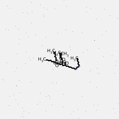 CCCCC/C=C\C/C=C\CCCCCCC(CC(COC(=O)OCCN(C)C)COC(=O)C(OCCCCCCC)OCCCCCCC)C(=O)O